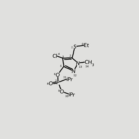 CCSc1c(Cl)c(OP(=O)(OC(C)C)C(C)C)nn1C